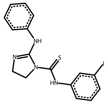 S=C(Nc1cccc(I)c1)N1CCN=C1Nc1ccccc1